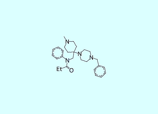 CCC(=O)N(CC1(N2CCN(Cc3ccccc3)CC2)CCN(C)CC1)c1ccccc1